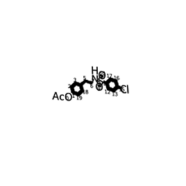 CC(=O)Oc1ccc(CCNS(=O)(=O)c2ccc(Cl)cc2)cc1